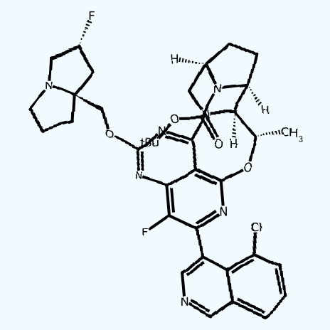 C[C@@H]1Oc2nc(-c3cncc4cccc(Cl)c34)c(F)c3nc(OC[C@@]45CCCN4C[C@H](F)C5)nc(c23)N2C[C@H]3CC[C@@H]([C@@H]12)N3C(=O)OC(C)(C)C